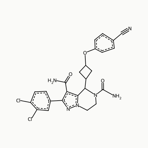 N#Cc1ccc(OC2CC(C3c4c(C(N)=O)c(-c5ccc(Cl)c(Cl)c5)nn4CCN3C(N)=O)C2)cc1